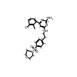 Cc1c(Cl)cccc1-c1cc(NCCc2ccc(S(=O)(=O)N3CCOCC3)cc2)nc(N)n1